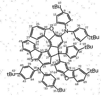 CC(C)(C)c1ccc(N(c2ccc(C(C)(C)C)cc2)c2cc3c(c4c2oc2ccccc24)-c2c(cc(N(c4ccc(C(C)(C)C)cc4)c4ccc(C(C)(C)C)cc4)c4sc5ccccc5c24)C3(c2ccc(C(C)(C)C)cc2)c2ccc3oc4ccc(C(C)(C)C)cc4c3c2)cc1